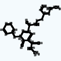 CN/C=C(\C=N)CCNC(=O)c1cc(C(=O)NC)c(=O)n(Cc2ccccc2)c1